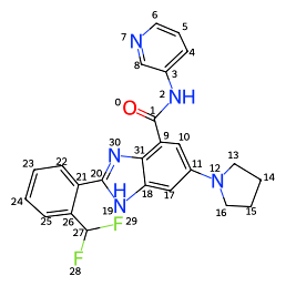 O=C(Nc1cccnc1)c1cc(N2CCCC2)cc2[nH]c(-c3ccccc3C(F)F)nc12